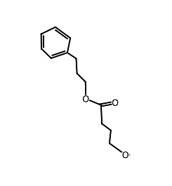 [O]CCCC(=O)OCCCc1ccccc1